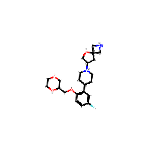 Fc1ccc(OCC2COCCO2)c(C2CCN(C3COC4(CNC4)C3)CC2)c1